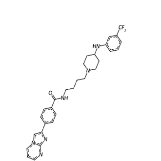 O=C(NCCCCN1CCC(Nc2cccc(C(F)(F)F)c2)CC1)c1ccc(-c2cn3cccnc3n2)cc1